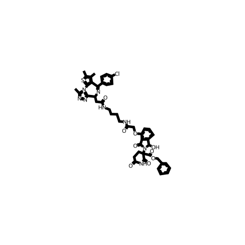 Cc1sc2c(c1C)C(c1ccc(Cl)cc1)=NC(CC(=O)NCCCCNC(=O)COc1cccc3c1C(=O)N(C1(C(=O)OCc4ccccc4)CCC(=O)NC1=O)C3O)c1nnc(C)n1-2